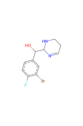 OC(c1ccc(F)c(Br)c1)C1N=CCCN1